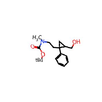 CN(CCC1(c2ccccc2)CC1CO)C(=O)OC(C)(C)C